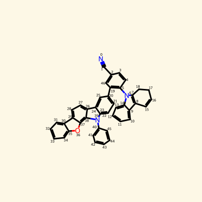 N#Cc1ccc(-n2c3c(c4ccccc42)C=CCC3)c(-c2ccc3c(c2)c2ccc4c5ccccc5oc4c2n3-c2ccccc2)c1